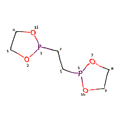 C1COP(CCP2OCCO2)O1